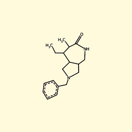 CCC1C(C)C(=O)NCC2CN(Cc3ccccc3)CC21